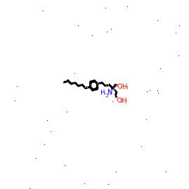 CCCCCCCc1ccc(CCCC(N)(CO)CCO)cc1